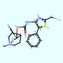 C[N+]12CCC(CC1)[C@@H](OC(=O)Nc1nc(CF)sc1-c1ccccc1)C2